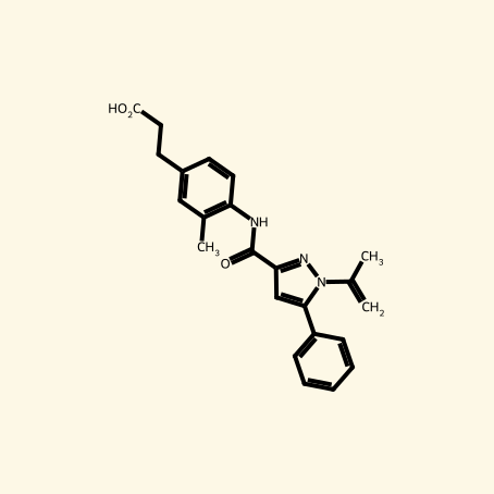 C=C(C)n1nc(C(=O)Nc2ccc(CCC(=O)O)cc2C)cc1-c1ccccc1